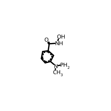 CN(P)c1cccc(C(=O)NO)c1